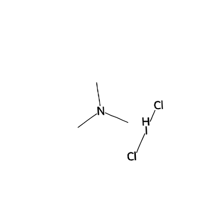 CN(C)C.Cl[IH]Cl